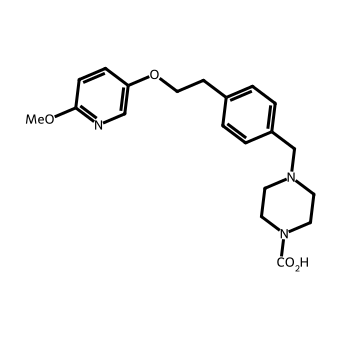 COc1ccc(OCCc2ccc(CN3CCN(C(=O)O)CC3)cc2)cn1